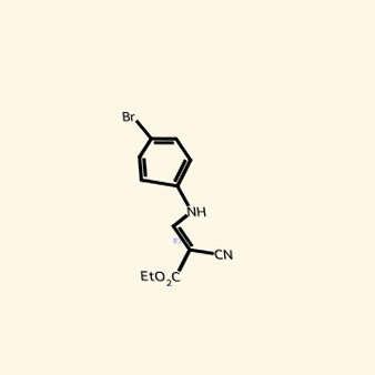 CCOC(=O)/C(C#N)=C/Nc1ccc(Br)cc1